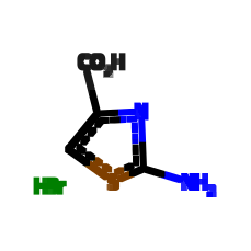 Br.Nc1nc(C(=O)O)cs1